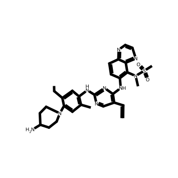 C=Cc1cnc(Nc2cc(CC)c(N3CCC(N)CC3)cc2C)nc1Nc1ccc2nccnc2c1N(C)S(C)(=O)=O